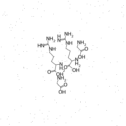 N=C(N)NCCCC(N)C(=O)O.N=C(N)NCCCC(N)C(=O)O.NCC(=O)O.NCC(=O)O